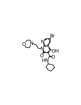 O=C(NC1CCCCC1)c1c(O)c2cc(Br)cnc2n(CCN2CCOCC2)c1=O